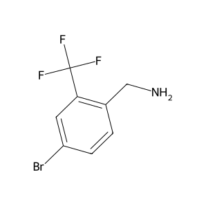 NCc1ccc(Br)cc1C(F)(F)F